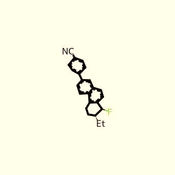 CC[C@@H]1CCc2c(ccc3cc(-c4ccc(C#N)cc4)ccc23)[C@H]1F